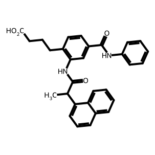 CC(C(=O)Nc1cc(C(=O)Nc2ccccc2)ccc1CCCC(=O)O)c1cccc2ccccc12